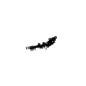 C[C@H]1CC2[C@@H]3CCC4=CC(=O)C=C[C@]4(C)C3(Cl)[C@@H](O)C[C@]2(C)[C@@]1(O)C(=O)COC(=O)OCC(N)C(=O)OCCCCON(O)O